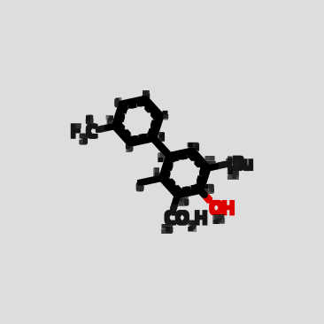 Cc1c(-c2cccc(C(F)(F)F)c2)cc(C(C)(C)C)c(O)c1C(=O)O